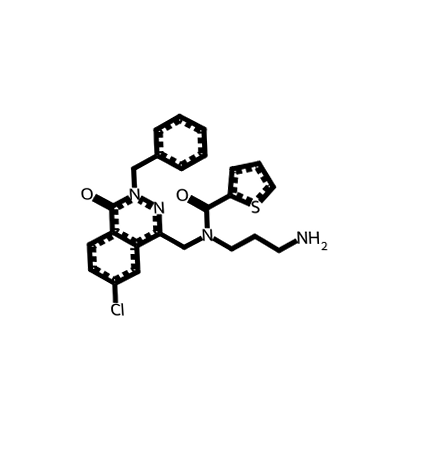 NCCCN(Cc1nn(Cc2ccccc2)c(=O)c2ccc(Cl)cc12)C(=O)c1cccs1